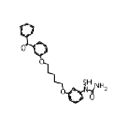 NC(=O)N(S)c1cccc(OCCCCCOc2cccc(C(=O)c3ccccc3)c2)c1